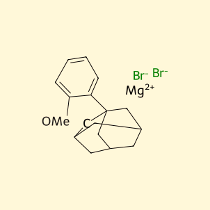 COc1ccccc1C12CC3CC(CC(C3)C1)C2.[Br-].[Br-].[Mg+2]